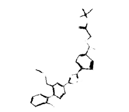 COCc1cc(-c2nc(-c3ccc([C@H](C)NCC(=O)OC(C)(C)C)cc3)no2)ccc1-c1ccccc1C